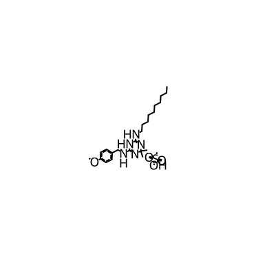 CCCCCCCCCCNC1=NC(C)(C)N=C(NCc2ccc(OC)cc2)N1.CS(=O)(=O)O